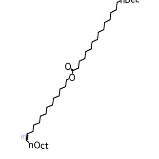 CCCCCCCC/C=C\CCCCCCCCCCCCOC(=O)CCCCCCCCCCCCCCCCCCCCCCCC